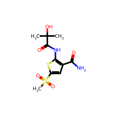 CC(C)(O)C(=O)Nc1sc(S(C)(=O)=O)cc1C(N)=O